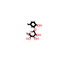 Cc1ccc(O)c(O[C@@H]2O[C@H](C)[C@@H](O)[C@H](O)[C@@H]2O)c1